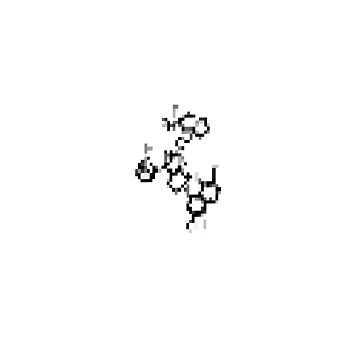 [2H][C@]1(F)CN2CCC[C@@]2(COc2nc3c(c(N4CC5CCC4CN5)n2)CCN(c2cc(O)cc4ccc(F)c(CC)c24)C3)C1